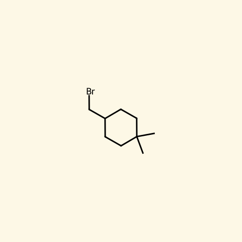 CC1(C)CCC(CBr)CC1